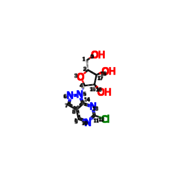 OC[C@H]1O[C@@H](n2ncc3[c]nc(Cl)nc32)[C@H](O)[C@@H]1O